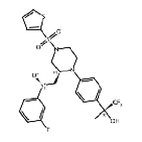 C[C@@](O)(c1ccc(N2CCN(S(=O)(=O)c3cccs3)C[C@@H]2C[S@+]([O-])c2cccc(F)c2)cc1)C(F)(F)F